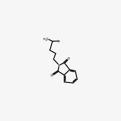 CC(Br)CCCN1C(=O)c2ccccc2C1=O